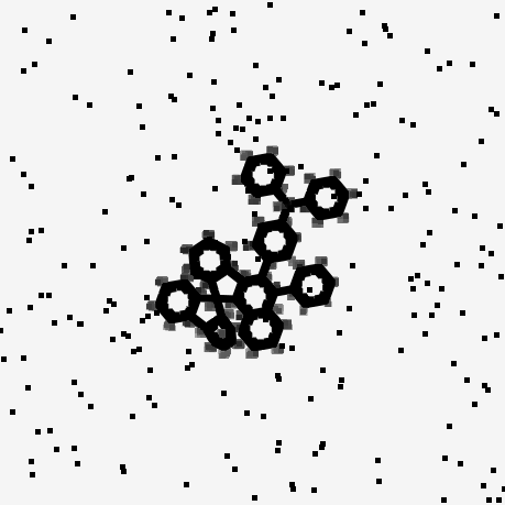 c1ccc(-c2c(-c3ccc(N(c4ccccc4)c4ccccc4)cc3)c3c(c4ccccc24)C2(c4ccccc4-c4ccccc42)c2ccccc2-3)cc1